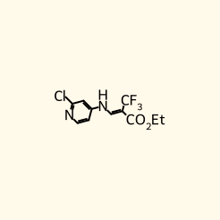 CCOC(=O)/C(=C/Nc1ccnc(Cl)c1)C(F)(F)F